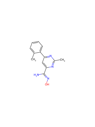 Cc1nc(C(N)=NO)cc(-c2ccccc2C)n1